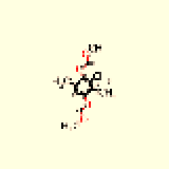 COCOc1cc(C)c(OCOC)c(C)c1C